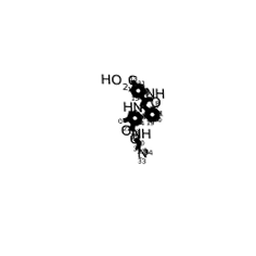 Cc1cc(N/C(=C2/C(=O)Nc3cc(C(=O)O)ccc32)c2ccccc2)ccc1C(=O)NOCCN(C)C